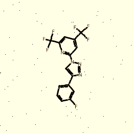 Fc1cccc(-c2cn(-c3cc(C(F)(F)F)cc(C(F)(F)F)n3)nn2)c1